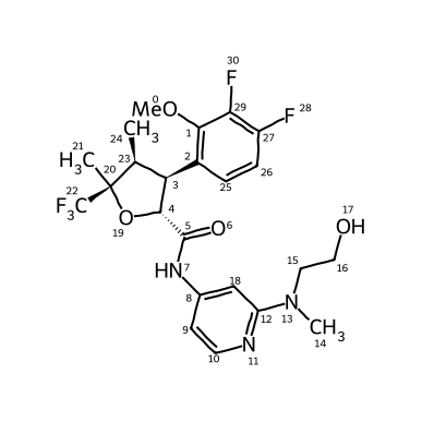 COc1c([C@H]2[C@H](C(=O)Nc3ccnc(N(C)CCO)c3)O[C@@](C)(C(F)(F)F)[C@H]2C)ccc(F)c1F